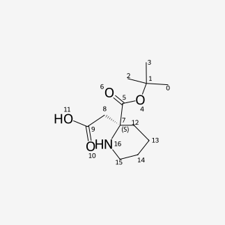 CC(C)(C)OC(=O)[C@@]1(CC(=O)O)CCCCN1